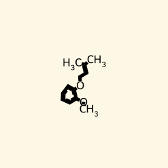 COc1ccccc1OCC=C(C)C